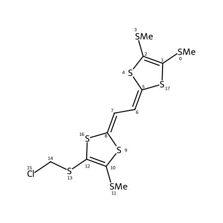 CSC1=C(SC)SC(=CC=C2SC(SC)=C(SCCl)S2)S1